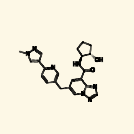 Cn1cc(-c2ccc(Cc3cc(C(=O)N[C@H]4CCC[C@@H]4O)c4ncnn4c3)cn2)cn1